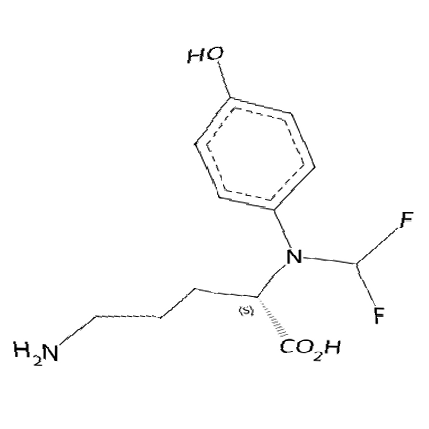 NCCC[C@@H](C(=O)O)N(c1ccc(O)cc1)C(F)F